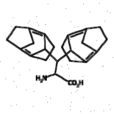 NC(C(=O)O)C(C1C2=C3CCC(=C1CC2)C3)C1C2=C3CCC(=C1CC2)C3